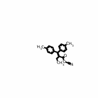 CCC(C(=O)OC#N)=C(c1ccc(C)cc1)c1ccc(C)cc1